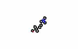 c1ccc(-c2c3ccccc3c(-c3ccc4ccc(-c5cccc6c5c5ccccc5n6-c5ccccc5)cc4c3)c3ccccc23)cc1